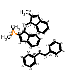 CC1=Cc2ccccc2[CH]1[Ti][CH]1C(P(C)C)=Cc2ccccc21.c1ccc(CCc2ccccc2)cc1